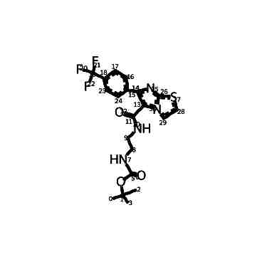 CC(C)(C)OC(=O)NCCNC(=O)c1c(-c2ccc(C(F)(F)F)cc2)nc2sccn12